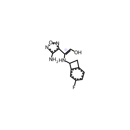 Nc1nonc1/C(=C/O)NC1Cc2ccc(F)cc21